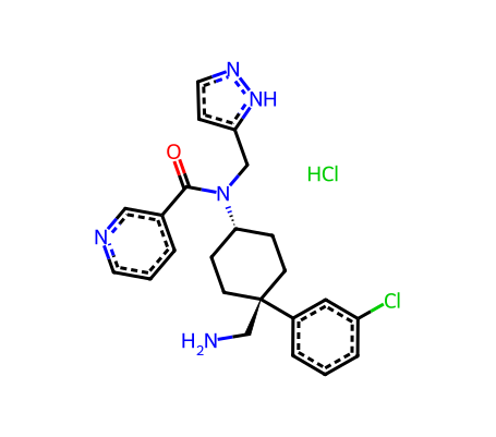 Cl.NC[C@]1(c2cccc(Cl)c2)CC[C@@H](N(Cc2ccn[nH]2)C(=O)c2cccnc2)CC1